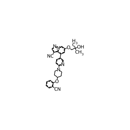 CC(C)(O)COc1cc(-c2ccc(N3CCC(Oc4ccccc4C#N)CC3)nc2)c2c(C#N)cnn2c1